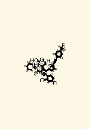 CCC(NC(=O)O)c1c(C(=O)NN2CCCCC2)nn(-c2ccc(Cl)cc2Cl)c1-c1ccc(C#Cc2ccc(C(F)(F)F)cc2)s1